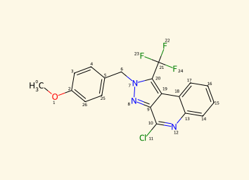 COc1ccc(Cn2nc3c(Cl)nc4ccccc4c3c2C(F)(F)F)cc1